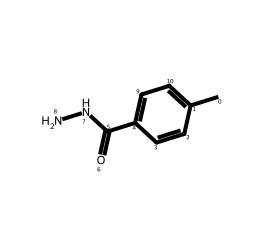 Cc1ccc(C(=O)NN)cc1